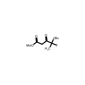 CCCCC(C)(F)C(=O)CC(=O)OC